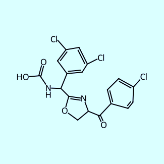 O=C(O)NC(C1=NC(C(=O)c2ccc(Cl)cc2)CO1)c1cc(Cl)cc(Cl)c1